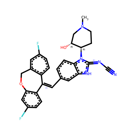 CN1CC[C@@H](n2/c(=N/C#N)[nH]c3cc(/C=C4\c5ccc(F)cc5COc5cc(F)ccc54)ccc32)[C@H](O)C1